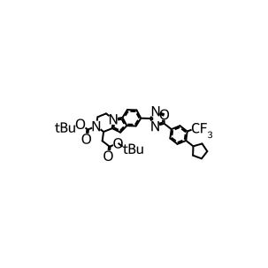 CC(C)(C)OC(=O)CC1c2cc3cc(-c4noc(-c5ccc(C6CCCC6)c(C(F)(F)F)c5)n4)ccc3n2CCN1C(=O)OC(C)(C)C